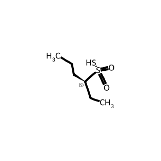 CCC[C@H](CC)S(=O)(=O)S